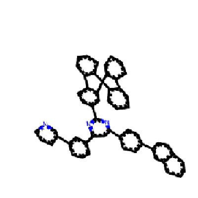 c1cncc(-c2cccc(-c3cc(-c4ccc(-c5ccc6ccccc6c5)cc4)nc(-c4ccc5c(c4)C4(c6ccccc6-c6ccccc64)c4ccccc4-5)n3)c2)c1